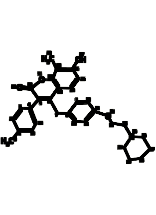 Cc1ccc(-c2c(Cc3ccc(OCCN4CCCCC4)cc3)c3ccc(O)c(C)c3oc2=O)cc1